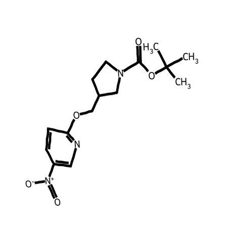 CC(C)(C)OC(=O)N1CCC(COc2ccc([N+](=O)[O-])cn2)C1